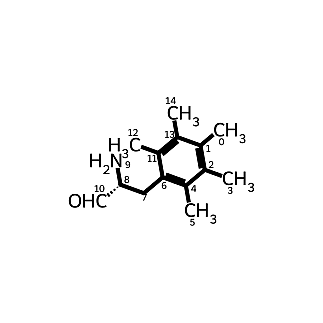 Cc1c(C)c(C)c(C[C@@H](N)C=O)c(C)c1C